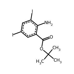 CC(C)(C)OC(=O)c1cc(I)cc(I)c1N